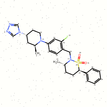 C[C@H]1C[C@H](n2cnnc2)CCN1c1ccc(CN2[C@@H](C)CC[C@H](c3ccccc3)S2(=O)=O)c(F)c1